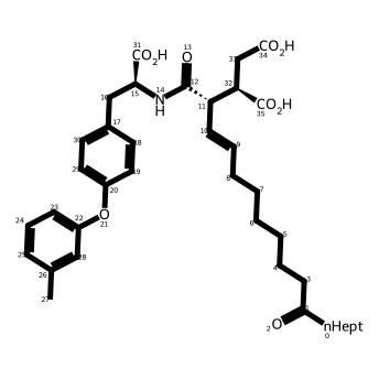 CCCCCCCC(=O)CCCCCC/C=C/[C@H](C(=O)N[C@@H](Cc1ccc(Oc2cccc(C)c2)cc1)C(=O)O)[C@@H](CC(=O)O)C(=O)O